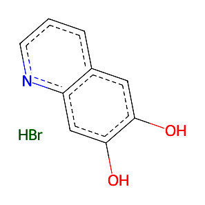 Br.Oc1cc2cccnc2cc1O